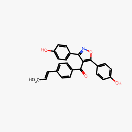 O=C(O)C=Cc1ccc(C(=O)c2c(-c3ccc(O)cc3)noc2-c2ccc(O)cc2)cc1